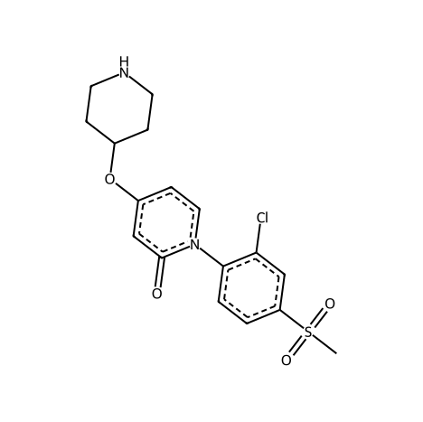 CS(=O)(=O)c1ccc(-n2ccc(OC3CCNCC3)cc2=O)c(Cl)c1